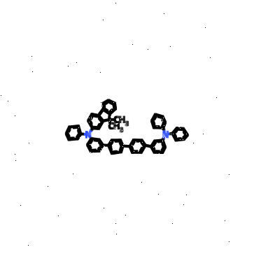 CC1(C)c2ccccc2-c2ccc(N(c3ccccc3)c3cccc(-c4ccc(-c5ccc(-c6cccc(N(c7ccccc7)c7ccccc7)c6)cc5)cc4)c3)cc21